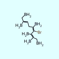 BC/C(B)=C(B)\C(Br)=C(\B)C/C=C(\B)CB